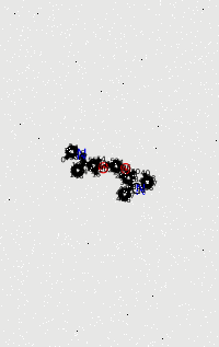 Cc1cccc(N=C=C(c2ccccc2)c2cc(C)c(OCc3ccc(Oc4c(C)cc(C(=C=Nc5cccc(C)c5)c5ccccc5)cc4C)cc3)c(C)c2)c1